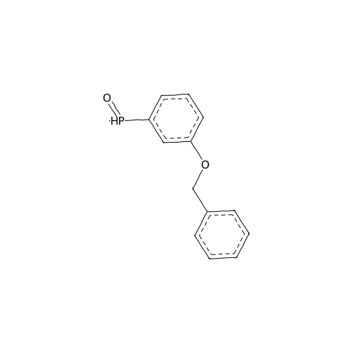 O=[PH]c1cccc(OCc2ccccc2)c1